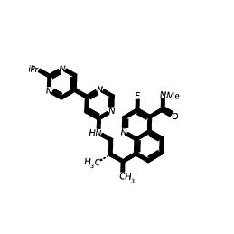 CNC(=O)c1c(F)cnc2c(C(C)[C@H](C)CNc3cc(-c4cnc(C(C)C)nc4)ncn3)cccc12